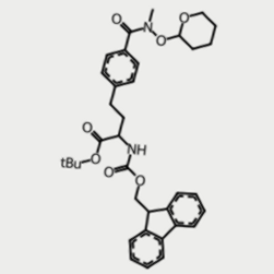 CN(OC1CCCCO1)C(=O)c1ccc(CCC(NC(=O)OCC2c3ccccc3-c3ccccc32)C(=O)OC(C)(C)C)cc1